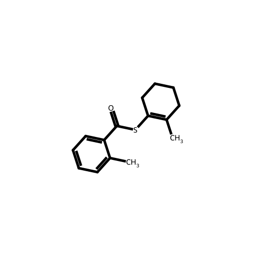 CC1=C(SC(=O)c2ccccc2C)CCCC1